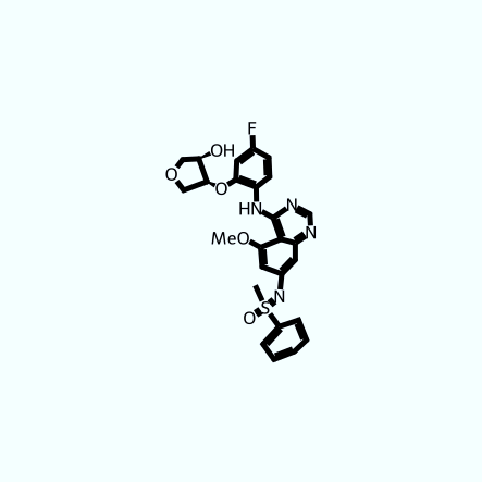 COc1cc(N=S(C)(=O)c2ccccc2)cc2ncnc(Nc3ccc(F)cc3O[C@H]3COC[C@H]3O)c12